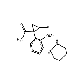 COc1c([C@H]2CCCCN2)cccc1C1(C(N)=O)CC1F